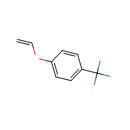 C=COc1ccc(C(F)(F)F)cc1